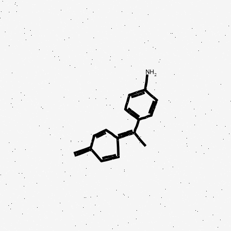 C=c1ccc(=C(C)c2ccc(N)cc2)cc1